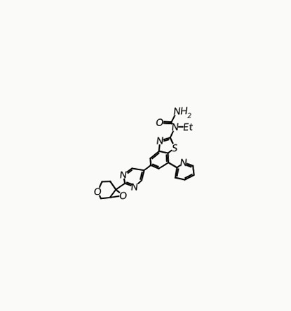 CCN(C(N)=O)c1nc2cc(-c3cnc(C45CCOCC4O5)nc3)cc(-c3ccccn3)c2s1